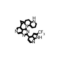 FC(F)(F)c1cc2c(-c3nc(N4CCCC5NCCC=C54)c4c(C5CC5)cncc4n3)ccnc2[nH]1